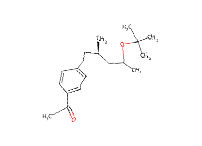 CC(=O)c1ccc(C[C@@H](C)CC(C)OC(C)(C)C)cc1